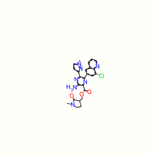 CN1CCC(COC(=O)c2nc(-c3cc(Cl)c4ncccc4c3)c(-c3ccn(C)n3)nc2N)C1=O